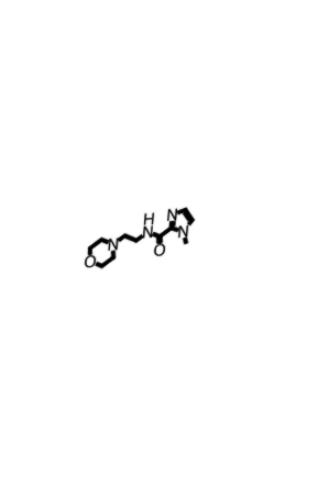 Cn1ccnc1C(=O)NCCN1CCOCC1